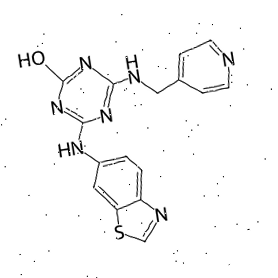 Oc1nc(NCc2ccncc2)nc(Nc2ccc3ncsc3c2)n1